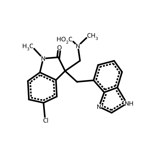 CN(CC1(Cc2cccc3[nH]cnc23)C(=O)N(C)c2ccc(Cl)cc21)C(=O)O